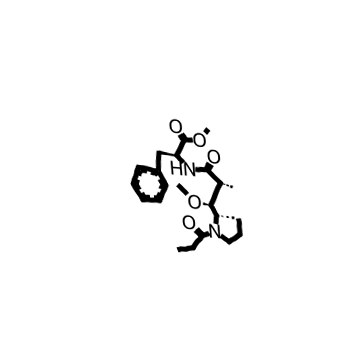 CCC(=O)N1CCC[C@H]1[C@H](OC)[C@@H](C)C(=O)N[C@@H](Cc1ccccc1)C(=O)OC